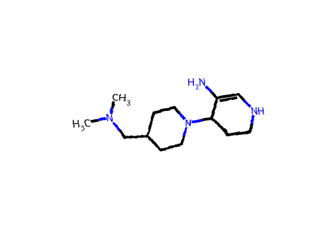 CN(C)CC1CCN(C2CCNC=C2N)CC1